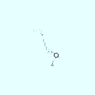 C[C@@H](NS(=O)(=O)CCCCCCOC(=O)CN)c1ccc(F)c(OCC2CC2)c1